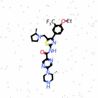 CCOc1ccc(-c2nc(NC(=O)c3cnc(N4CCNC[C@H]4C)cn3)sc2CN2CCC[C@H]2C)cc1C(F)(F)F